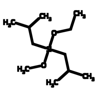 CCO[Si](CC(C)C)(CC(C)C)OC